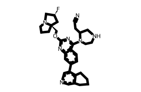 N#CCC1CNCCN1c1nc(OC[C@@]23CCCN2C[C@H](F)C3)nc2cc(-c3cncc4c3CCCC4)ccc12